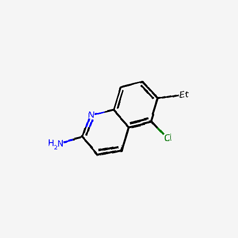 CCc1ccc2nc(N)ccc2c1Cl